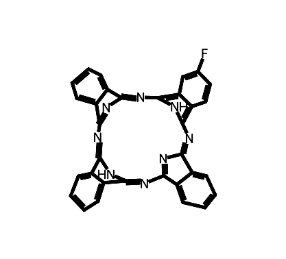 Fc1ccc2c3nc4nc(nc5[nH]c(nc6nc(nc([nH]3)c2c1)-c1ccccc1-6)c1ccccc51)-c1ccccc1-4